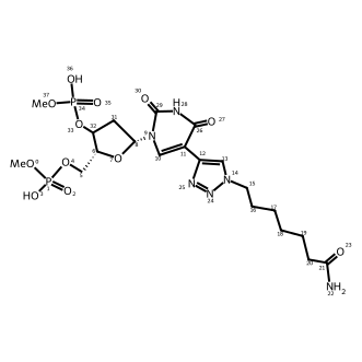 COP(=O)(O)OC[C@H]1O[C@@H](n2cc(-c3cn(CCCCCCC(N)=O)nn3)c(=O)[nH]c2=O)CC1OP(=O)(O)OC